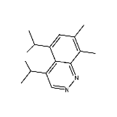 Cc1cc(C(C)C)c2c(C(C)C)cnnc2c1C